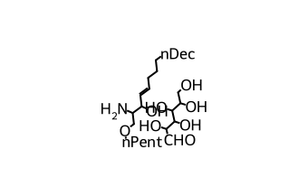 CCCCCCCCCCCCC/C=C/C(O)C(N)COCCCCC.O=CC(O)C(O)C(O)C(O)CO